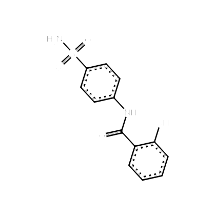 NS(=O)(=O)c1ccc(NC(=O)c2ccccc2S)cc1